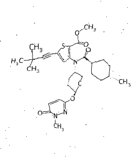 COC(=O)c1sc(C#CC(C)(C)C)cc1N(C(=O)[C@H]1CC[C@H](C)CC1)[C@H]1CC[C@H](Oc2ccc(=O)n(C)n2)CC1